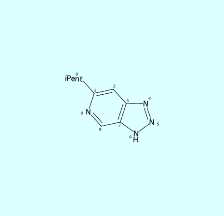 CCCC(C)c1cc2nn[nH]c2cn1